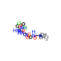 CN(C)CC=CC(=O)Nc1cccc(S(=O)(=O)N2CCC(NC(=O)c3n[nH]c(-c4ccccc4)c3NC(=O)c3c(Cl)cccc3Cl)CC2)c1